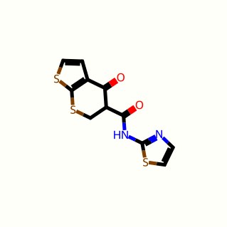 O=C(Nc1nccs1)C1CSc2sccc2C1=O